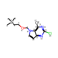 C[Si](C)(C)CCOCn1ccc2nc(Cl)nc(C(F)(F)F)c21